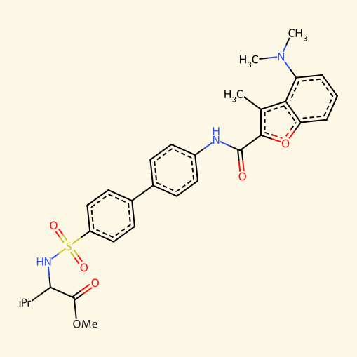 COC(=O)C(NS(=O)(=O)c1ccc(-c2ccc(NC(=O)c3oc4cccc(N(C)C)c4c3C)cc2)cc1)C(C)C